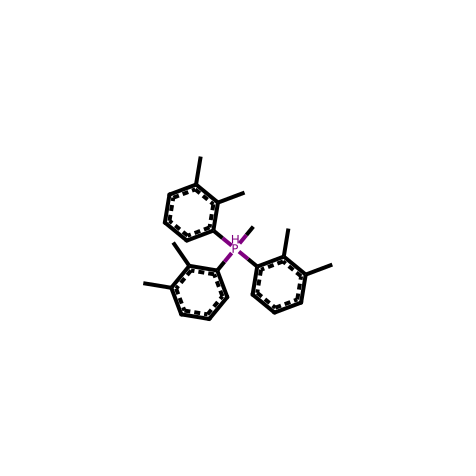 Cc1cccc([PH](C)(c2cccc(C)c2C)c2cccc(C)c2C)c1C